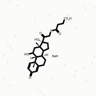 C[C@]12C=CC(=O)C=C1CC[C@@H]1C3CC[C@](O)(C(=O)COC(=O)CCC(=O)O)[C@@]3(C)CC(O)[C@H]12.[NaH]